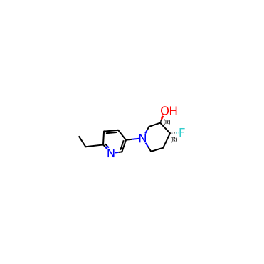 CCc1ccc(N2CC[C@@H](F)[C@H](O)C2)cn1